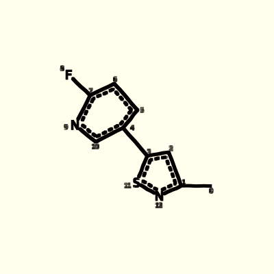 Cc1cc(-c2ccc(F)nc2)sn1